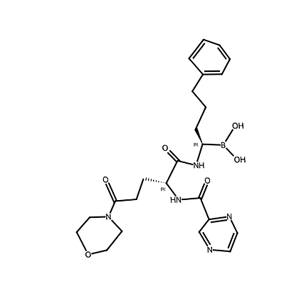 O=C(N[C@H](CCC(=O)N1CCOCC1)C(=O)N[C@@H](CCCc1ccccc1)B(O)O)c1cnccn1